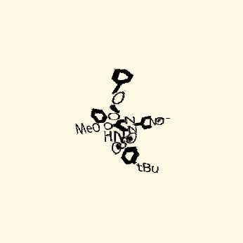 COc1ccccc1Oc1c(NS(=O)(=O)c2ccc(C(C)(C)C)cc2)nc(-c2cc[n+]([O-])cc2)nc1OCCOCc1ccccc1